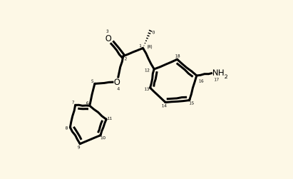 C[C@@H](C(=O)OCc1ccccc1)c1cccc(N)c1